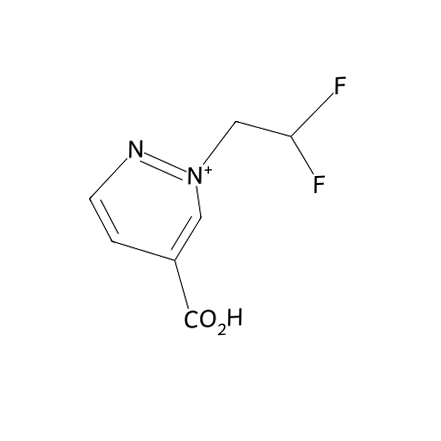 O=C(O)c1ccn[n+](CC(F)F)c1